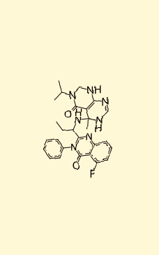 CCC(NC1(C)NC=NC2=C1C(=O)N(C(C)C)CN2)c1nc2cccc(F)c2c(=O)n1-c1ccccc1